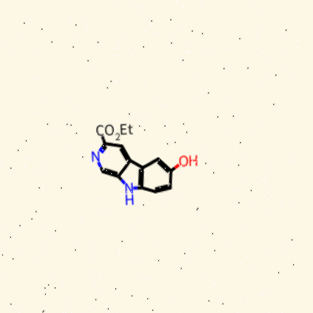 CCOC(=O)c1cc2c(cn1)[nH]c1ccc(O)cc12